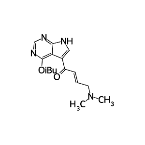 CC(C)COc1ncnc2[nH]cc(C(=O)C=CCN(C)C)c12